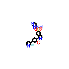 COc1cc(-c2cccnc2F)ccc1-c1nccc2cc(S(=O)(=O)Nc3ccncn3)ccc12